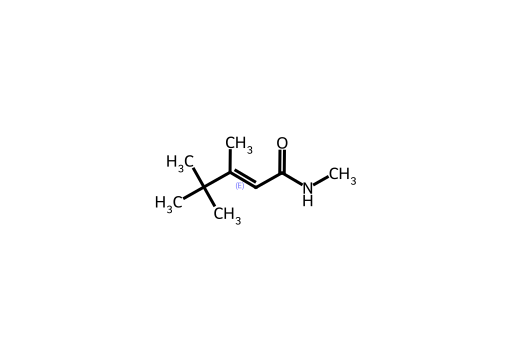 CNC(=O)/C=C(\C)C(C)(C)C